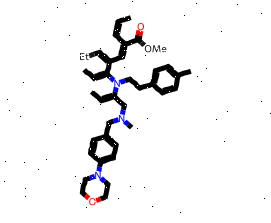 C\C=C/C(=C\C(=C\CC)C(=C/C)\N(CCc1ccc(C)cc1)/C(=C\C)CN(C)Cc1ccc(N2CCOCC2)cc1)C(=O)OC